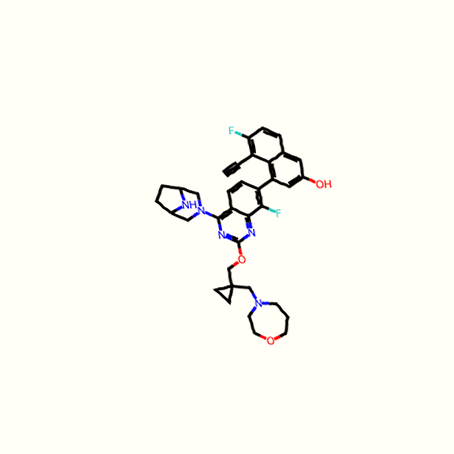 C#Cc1c(F)ccc2cc(O)cc(-c3ccc4c(N5CC6CCC(C5)N6)nc(OCC5(CN6CCCOCC6)CC5)nc4c3F)c12